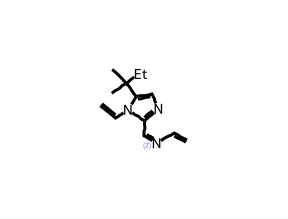 C=C/N=C\c1ncc(C(C)(C)CC)n1C=C